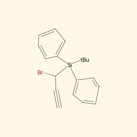 C#CC(Br)[Si](c1ccccc1)(c1ccccc1)C(C)(C)C